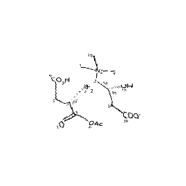 CC(=O)OC(=O)[C@@H](N)CC(=O)O.C[N+](C)(C)C[C@H](O)CC(=O)[O-]